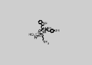 CC(C)[C@H](NC(=O)[C@H](CCCCN)NC(=O)[C@@H](Cc1c[nH]c2ccccc12)NC(=O)[C@@H](N)Cc1ccc(O)cc1)C(=O)O